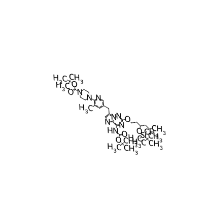 CCCC(CCOc1nc(NC(=O)OC(C)(C)C)c2ncc(Cc3cnc(N4CCN(C(=O)OC(C)(C)C)CC4)c(C)c3)n2n1)O[Si](C)(C)C(C)(C)C